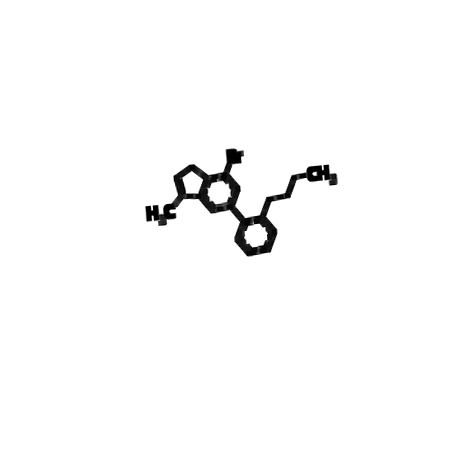 CCCCc1ccccc1-c1cc(Br)c2c(c1)C(C)=CC2